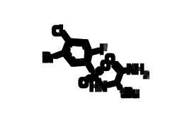 CC(C)(C)[C@@H](NS(=O)(=O)c1cc(Br)c(Cl)cc1F)C(N)=O